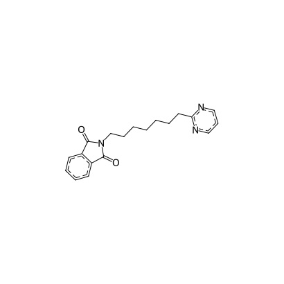 O=C1c2ccccc2C(=O)N1CCCCCCCc1ncccn1